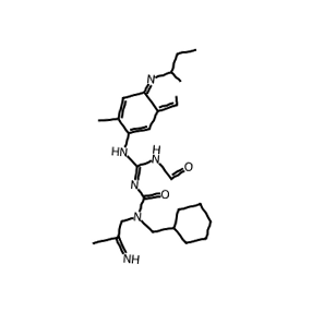 C/C=C1/C=C(N/C(=N/C(=O)N(CC(C)=N)CC2CCCCC2)NC=O)C(C)=C/C1=N/C(C)CC